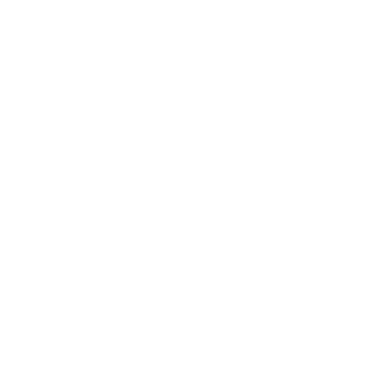 OC1C=C(Cl)CCCC1